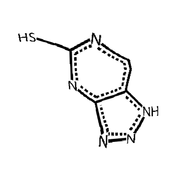 Sc1ncc2[nH]nnc2n1